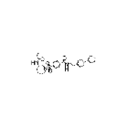 C=CC(=O)NC1CCCCN(S(=O)(=O)c2ccc(C(=O)NCCc3ccc(-c4ccccc4)cc3)cc2)C1